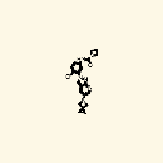 O=C(Nc1ccc(Cl)c(-n2cc3cc(N4CC5(CC5)C4)cnc3n2)c1)N1CCC1